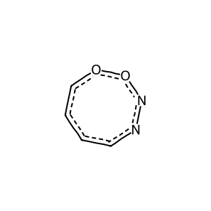 c1ccoonnc1